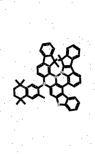 Cc1cc2c(cc1N1c3ccc4c(c3B3c5c1cc1sc6ccccc6c1c5-c1cccc5c6c(n3c15)C(C)(C)c1ccccc1-6)C(C)(C)c1ccccc1-4)C(C)(C)CCC2(C)C